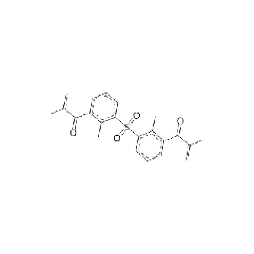 C=C(C)C(=O)c1cccc(S(=O)(=O)c2cccc(C(=O)C(=C)C)c2C)c1C